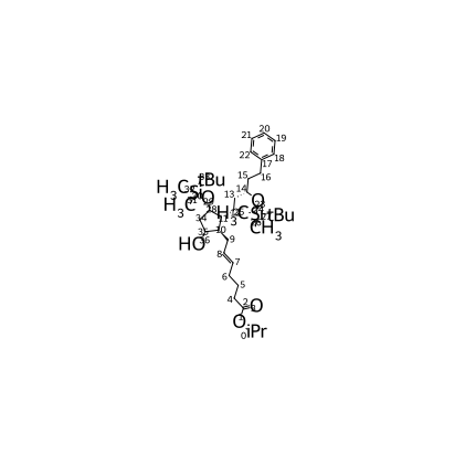 CC(C)OC(=O)CCC/C=C/C[C@@H]1[C@@H](CC[C@H](CCc2ccccc2)O[Si](C)(C)C(C)(C)C)[C@H](O[Si](C)(C)C(C)(C)C)C[C@@H]1O